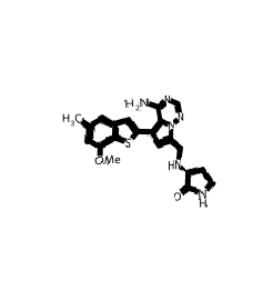 COc1cc(C)cc2cc(-c3cc(CN[C@H]4CCNC4=O)n4ncnc(N)c34)sc12